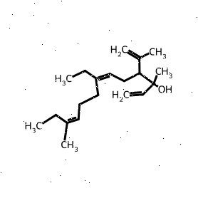 C=CC(C)(O)C(CC=C(CC)CCC=C(C)CC)C(=C)C